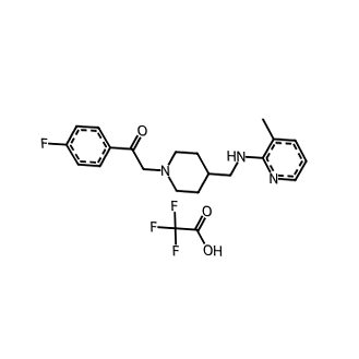 Cc1cccnc1NCC1CCN(CC(=O)c2ccc(F)cc2)CC1.O=C(O)C(F)(F)F